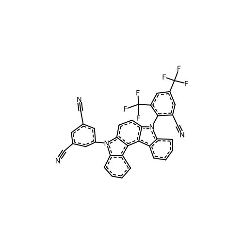 N#Cc1cc(C#N)cc(-n2c3ccccc3c3c4c5ccccc5n(-c5c(C#N)cc(C(F)(F)F)cc5C(F)(F)F)c4ccc32)c1